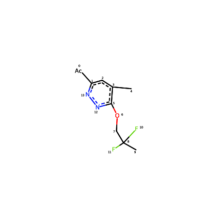 CC(=O)c1cc(C)c(OCC(C)(F)F)nn1